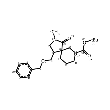 CN1CC(COCc2ccccc2)C2(CCCN(C(=O)OC(C)(C)C)C2)C1=O